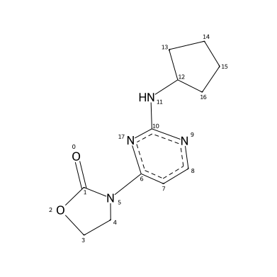 O=C1OCCN1c1ccnc(NC2CCCC2)n1